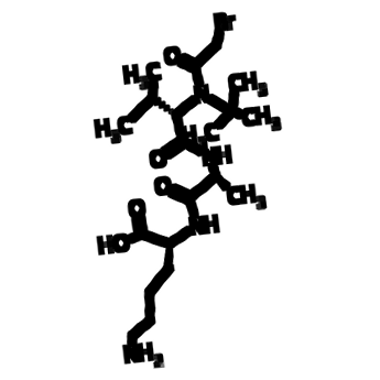 CC(C)[C@@H](C(=O)N[C@@H](C)C(=O)N[C@@H](CCCCN)C(=O)O)N(C(=O)CBr)C(C)(C)C